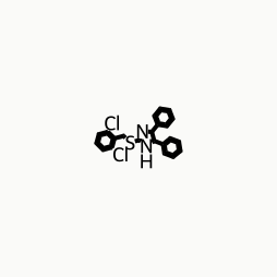 Clc1cccc(Cl)c1CSC1=NC(c2ccccc2)C(c2ccccc2)N1